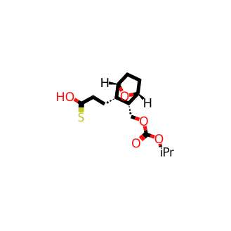 CC(C)OC(=O)OC[C@@H]1[C@H](CCC(O)=S)[C@@H]2CC[C@H]1O2